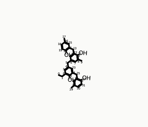 CCc1cc(Cc2cc(C)c(O)c(Cc3cc(C)ccc3O)c2)cc(Cc2cc(C)ccc2O)c1O